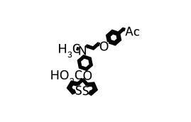 CC(=O)Cc1ccc(OCCCN(C)[C@H]2CC[C@H](OC(C(=O)O)(c3cccs3)c3cccs3)CC2)cc1